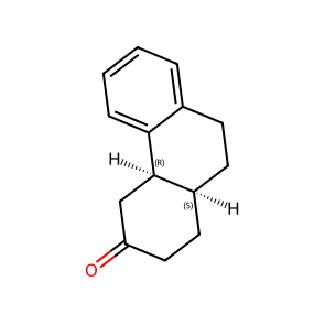 O=C1CC[C@@H]2CCc3ccccc3[C@@H]2C1